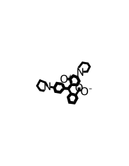 O=C([O-])c1ccccc1-c1c2ccc(N3CCCCC3)cc2[o+]c2cc(N3CCCCC3)ccc12